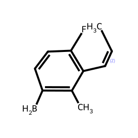 Bc1ccc(F)c(/C=C\C)c1C